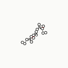 c1ccc(-c2ccccc2N(c2cccc(-c3cccc4ccccc34)c2)c2ccc3cc4c(cc3c2)oc2cc3cc(N(c5cccc(-c6cccc7ccccc67)c5)c5ccccc5-c5ccccc5)ccc3cc24)cc1